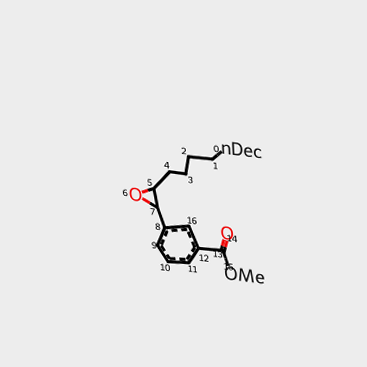 CCCCCCCCCCCCCCC1OC1c1cccc(C(=O)OC)c1